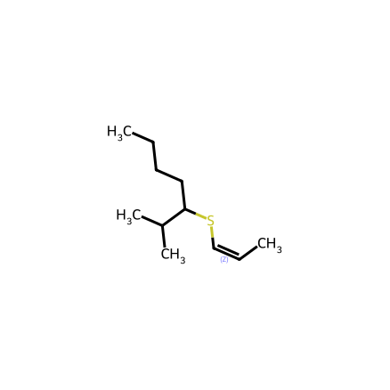 C/C=C\SC(CCCC)C(C)C